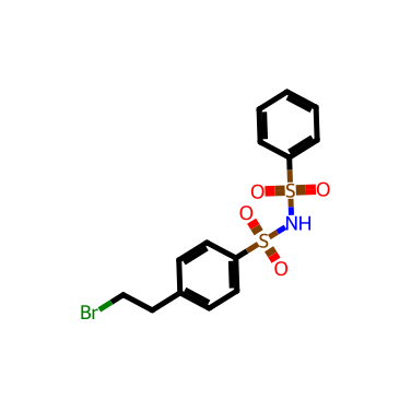 O=S(=O)(NS(=O)(=O)c1ccc(CCBr)cc1)c1ccccc1